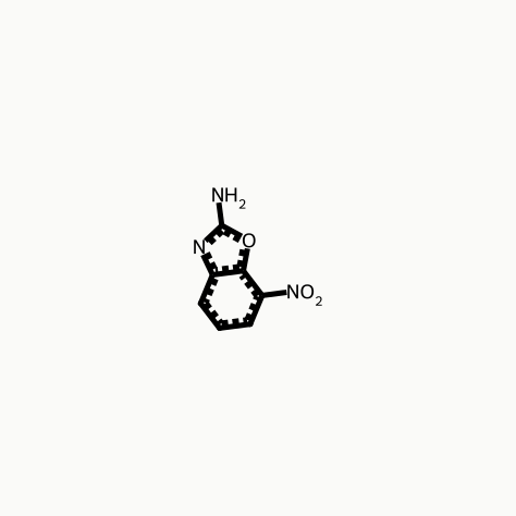 Nc1nc2cccc([N+](=O)[O-])c2o1